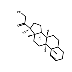 C[C@]12C=CCCC1CC[C@@H]1[C@@H]2CC[C@@]2(C)[C@H]1CC[C@]2(O)C(=O)CO